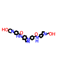 O=C(Nc1ccc2c(ccn2CCO)c1)c1ccc(-n2ncc3cc(NC(=O)c4ccc(N5CCC(O)CC5)cc4)ccc32)cc1